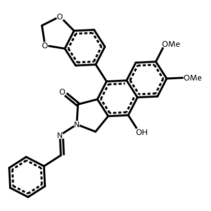 COc1cc2c(O)c3c(c(-c4ccc5c(c4)OCO5)c2cc1OC)C(=O)N(/N=C/c1ccccc1)C3